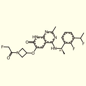 Cc1nc(N[C@H](C)c2cccc(C(C)F)c2F)c2cc(OC3CN(C(=O)CF)C3)c(=O)[nH]c2n1